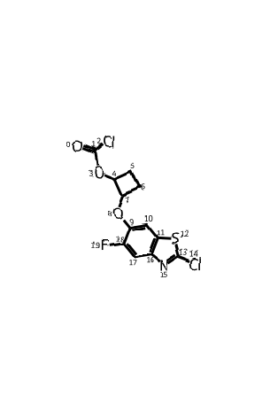 O=C(Cl)OC1CCC1Oc1cc2sc(Cl)nc2cc1F